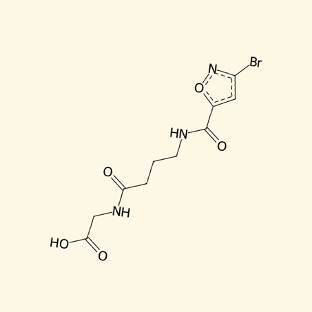 O=C(O)CNC(=O)CCCNC(=O)c1cc(Br)no1